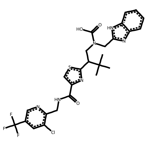 CC(C)(C)C(CN(Cc1nc2ccccc2[nH]1)C(=O)O)c1nc(C(=O)NCc2ncc(C(F)(F)F)cc2Cl)cs1